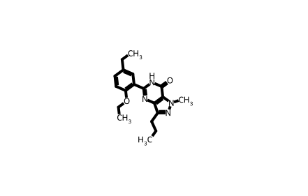 CCCc1nn(C)c2c(=O)[nH]c(-c3cc(CC)ccc3OCC)nc12